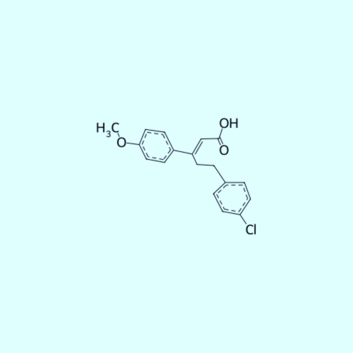 COc1ccc(C(=CC(=O)O)CCc2ccc(Cl)cc2)cc1